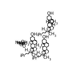 CC(C)CCC[C@@H](C)[C@H]1CCC2C3CC=C4CC(O)CC[C@]4(C)C3CC[C@@]21C.CC(C)CCC[C@@H](C)[C@H]1CCC2C3CC=C4CC(O)CC[C@]4(C)C3CC[C@@]21C.CC(C)CCC[C@@H](C)[C@H]1CCC2[C@H]3CC=C4CC(O)CC[C@]4(C)[C@@H]3CC[C@@]21C.O=P([O-])([O-])[O-].[Na+].[Na+].[Na+]